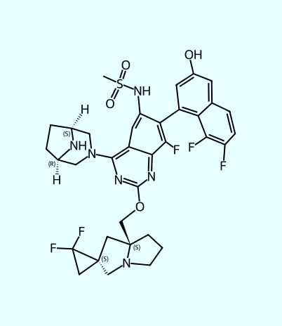 CS(=O)(=O)Nc1cc2c(N3C[C@H]4CC[C@@H](C3)N4)nc(OC[C@@]34CCCN3C[C@@]3(CC3(F)F)C4)nc2c(F)c1-c1cc(O)cc2ccc(F)c(F)c12